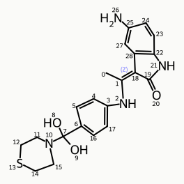 C/C(Nc1ccc(C(O)(O)N2CCSCC2)cc1)=C1/C(=O)Nc2ccc(N)cc21